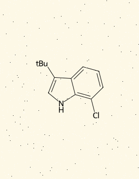 CC(C)(C)c1c[nH]c2c(Cl)cccc12